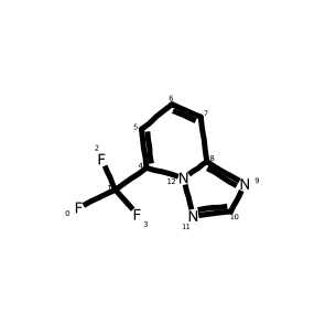 FC(F)(F)c1cccc2ncnn12